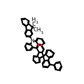 CC1(C)c2ccccc2-c2ccc(N(c3ccccc3)c3ccccc3C3=CC=CC4C3c3ccccc3C43c4ccccc4-c4c(-c5ccccc5)cccc43)cc21